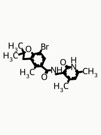 Cc1cc(C)c(CNC(=O)c2cc(Br)c3c(c2C)CC(C)(C)O3)c(=O)[nH]1